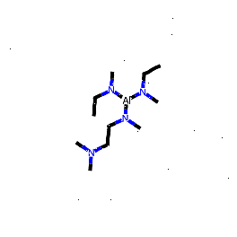 CC[N](C)[Al]([N](C)CC)[N](C)CCN(C)C